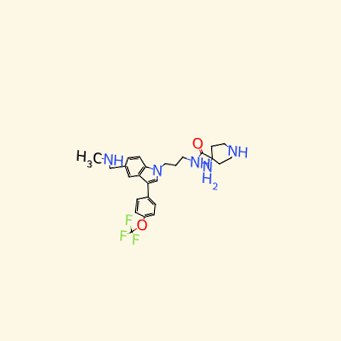 CNCc1ccc2c(c1)c(-c1ccc(OC(F)(F)F)cc1)cn2CCCNC(=O)C1(N)CCNCC1